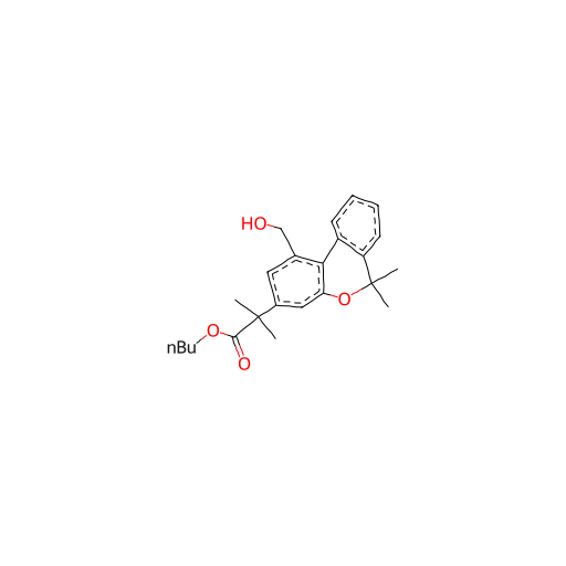 CCCCOC(=O)C(C)(C)c1cc(CO)c2c(c1)OC(C)(C)c1ccccc1-2